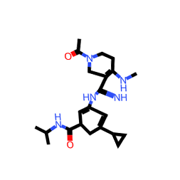 CNC1=C(C(=N)NC2=CC(C(=O)NC(C)C)CC(C3CC3)=C2)CN(C(C)=O)CC1